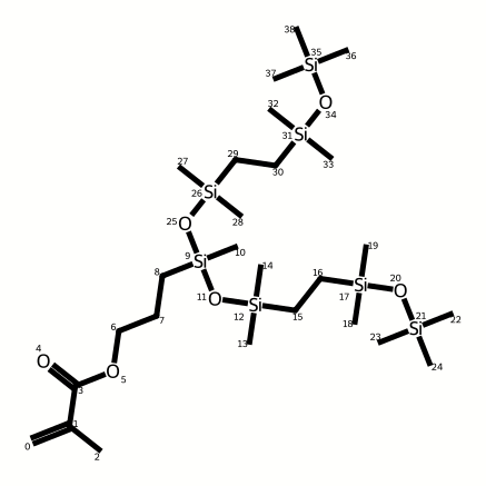 C=C(C)C(=O)OCCC[Si](C)(O[Si](C)(C)CC[Si](C)(C)O[Si](C)(C)C)O[Si](C)(C)CC[Si](C)(C)O[Si](C)(C)C